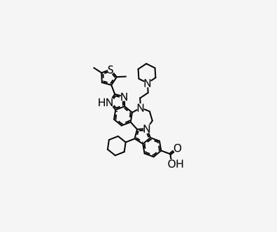 Cc1cc(-c2nc3c4c(ccc3[nH]2)-c2c(C3CCCCC3)c3ccc(C(=O)O)cc3n2CCN4CCN2CCCCC2)c(C)s1